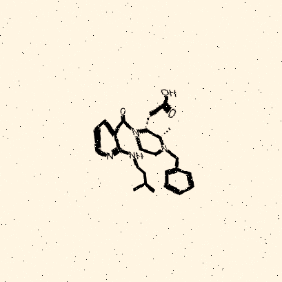 CC(C)CCNc1ncccc1C(=O)N1CCN(Cc2ccccc2)[C@@H](C)[C@H]1CC(=O)O